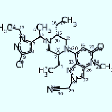 CC[C@H]1CN(C(C)c2cc(Cl)nn2CC)[C@H](CC)CN1c1cc(=O)n(C)c2cn(CC#N)nc12